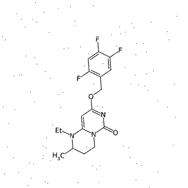 CCN1c2cc(OCc3cc(F)c(F)cc3F)nc(=O)n2CCC1C